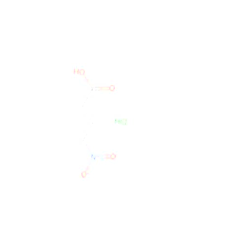 Cl.O=C(O)CCC[N+](=O)[O-]